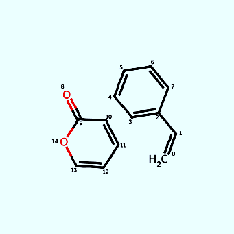 C=Cc1ccccc1.O=c1cccco1